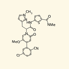 CNC(=O)c1ccc(NC(=O)C(Cc2ccn(C)n2)n2cc(OC)c(-c3cc(Cl)ccc3C#N)cc2=O)s1